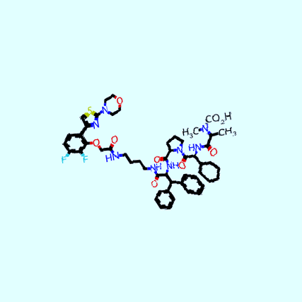 CC(C(=O)N[C@H](C(=O)N1CCCC1C(=O)NC(C(=O)NCCCCNC(=O)COc1c(-c2csc(N3CCOCC3)n2)ccc(F)c1F)C(c1ccccc1)c1ccccc1)C1CCCCC1)N(C)C(=O)O